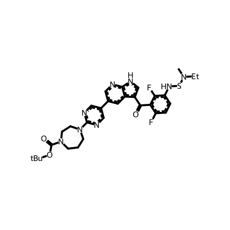 CCN(C)SNc1ccc(F)c(C(=O)c2c[nH]c3ncc(-c4cnc(N5CCCN(C(=O)OC(C)(C)C)CC5)nc4)cc23)c1F